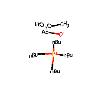 CC(=O)O.CC(=O)[O-].CCCC[P+](CCCC)(CCCC)CCCC